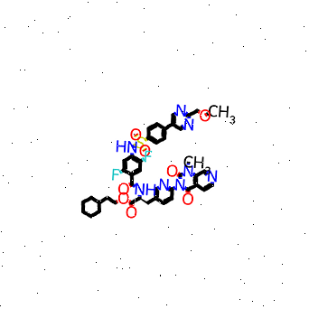 COCc1ncc(-c2ccc(S(=O)(=O)Nc3cc(F)c(C(=O)N[C@@H](Cc4ccc(-n5c(=O)c6ccncc6n(C)c5=O)nc4)C(=O)OCCC4CCCCC4)cc3F)cc2)cn1